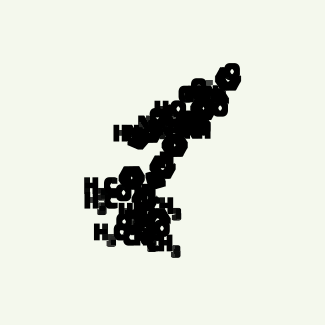 Cc1nc2c(c3c1OCCC3(C)C)[C@H](N1CCN(C3CC4(CCN(c5ccc(C(=O)NS(=O)(=O)c6cc7c(c([N+](=O)[O-])c6)N[C@H](C6CCOCC6)CO7)c(N6c7cc8cc[nH]c8nc7O[C@H]7COCC[C@@H]76)c5)CC4)C3)[C@H](c3ccccc3OC(C)C)C1)COC2(C)C